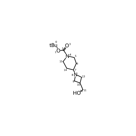 CC(C)(C)OC(=O)N1CCC(N2CC(CO)C2)CC1